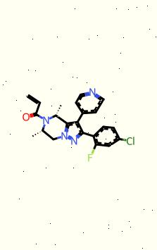 C=CC(=O)N1[C@H](C)c2c(-c3ccncc3)c(-c3ccc(Cl)cc3F)nn2C[C@@H]1C